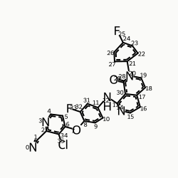 N#Cc1nccc(Oc2ccc(Nc3nccc4ccn(-c5ccc(F)cc5)c(=O)c34)cc2F)c1Cl